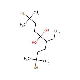 CCC(CCC(C)(C)S)C(O)(O)CCC(C)(C)S